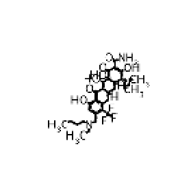 CCCCN(CC)Cc1cc(O)c2c(c1C(F)(F)F)C[C@H]1C[C@H]3[C@H](N(C)C)C(O)=C(C(N)=O)C(=O)[C@@]3(O)C(O)=C1C2=O